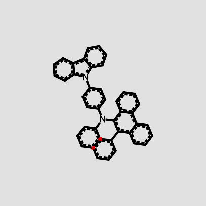 c1ccc(-c2c(N(c3ccccc3)c3ccc(-n4c5ccccc5c5ccccc54)cc3)c3ccccc3c3ccccc23)cc1